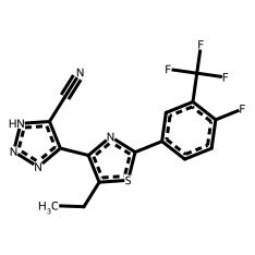 CCc1sc(-c2ccc(F)c(C(F)(F)F)c2)nc1-c1nn[nH]c1C#N